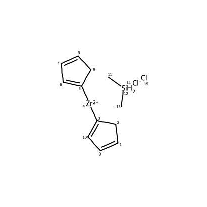 C1=CC[C]([Zr+2][C]2=CC=CC2)=C1.C[SiH2]C.[Cl-].[Cl-]